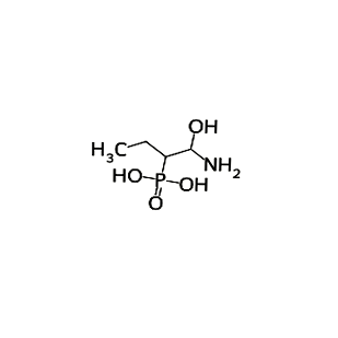 CCC(C(N)O)P(=O)(O)O